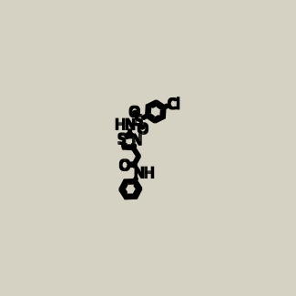 O=C(Cc1csc(NS(=O)(=O)c2ccc(Cl)cc2)n1)Nc1ccccc1